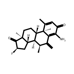 C=C1C2=C(N)C(=O)C=C(C)[C@]2(C)[C@H]2CC[C@]3(C)C(=O)[C@H](F)C[C@H]3[C@@H]2[C@@H]1C